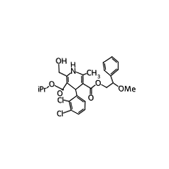 COC(COC(=O)C1=C(C)NC(CO)=C(C(=O)OC(C)C)C1c1cccc(Cl)c1Cl)c1ccccc1